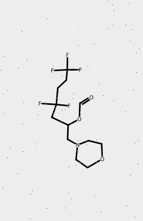 O=COC(CN1CCOCC1)CC(F)(F)CCC(F)(F)F